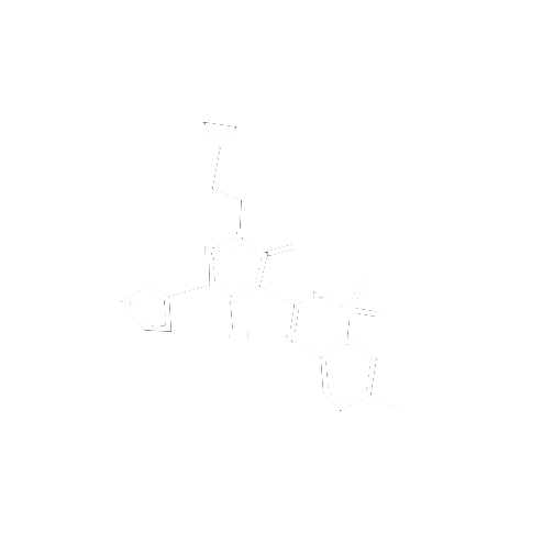 O=c1c(C2=Nc3ccc(O)cc3S(=O)(=O)N2)c(O)c(-c2cccs2)nn1CCC1CC1